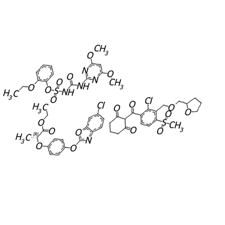 CCOC(=O)[C@@H](C)Oc1ccc(Oc2nc3ccc(Cl)cc3o2)cc1.CCOc1ccccc1OS(=O)(=O)NC(=O)Nc1nc(OC)cc(OC)n1.CS(=O)(=O)c1ccc(C(=O)C2C(=O)CCCC2=O)c(Cl)c1COCC1CCCO1